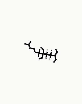 CCC(CC)C(F)(F)C(F)(F)C(CC)(CC)C(C)(C)CCOC(C)C